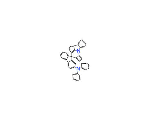 c1ccc(N(c2ccccc2)c2ccc3c(c2)C2(c4ccccc4-3)c3ccccc3-n3c4ccccc4c4cccc2c43)cc1